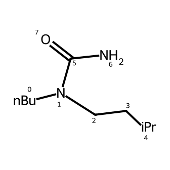 CCCCN(CCC(C)C)C(N)=O